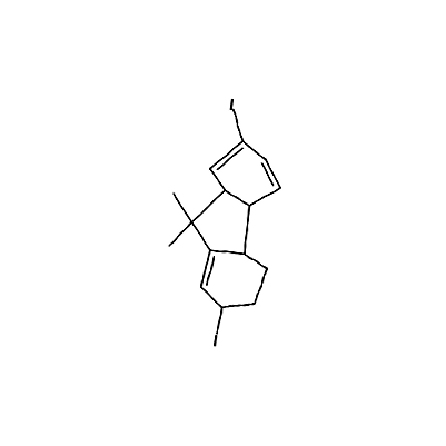 CC1(C)C2=CC(I)CCC2C2C=CC(I)=CC21